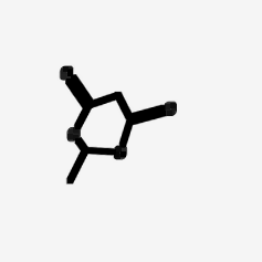 CC1OC(=O)CC(=O)O1